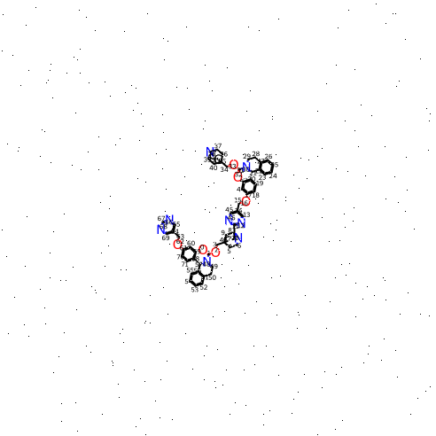 O=C(OCC12CCN(CC1)C(c1ncc(COc3ccc([C@H]4c5ccccc5CCN4C(=O)OCC45CCN(CC4)CC5)cc3)cn1)C2)N1CCc2ccccc2[C@H]1c1ccc(OCc2cncnc2)cc1